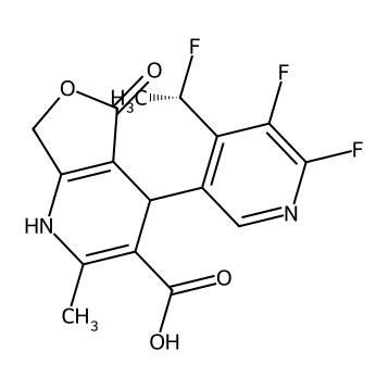 CC1=C(C(=O)O)C(c2cnc(F)c(F)c2[C@H](C)F)C2=C(COC2=O)N1